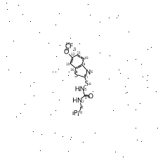 CC(C)CNC(=O)NSc1nc2ccc(OC(F)(F)F)cc2s1